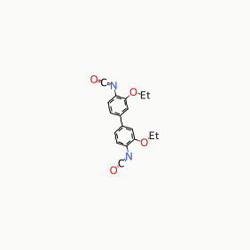 CCOc1cc(-c2ccc(N=C=O)c(OCC)c2)ccc1N=C=O